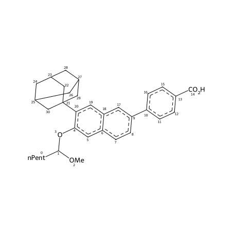 CCCCCC(OC)Oc1cc2ccc(-c3ccc(C(=O)O)cc3)cc2cc1C12CC3CC(CC(C3)C1)C2